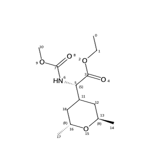 CCOC(=O)[C@@H](NC(=O)OC)C1C[C@@H](C)O[C@H](C)C1